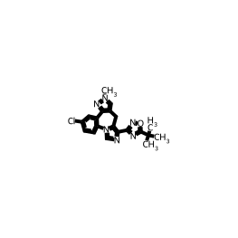 Cn1cc2c(n1)-c1cc(Cl)ccc1-n1cnc(-c3noc(C(C)(C)C)n3)c1C2